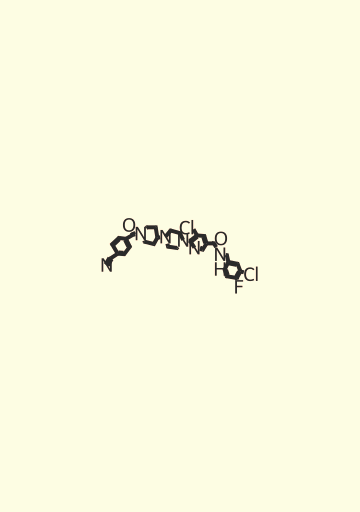 N#Cc1ccc(C(=O)N2CCC(N3CCN(c4ncc(C(=O)NCc5ccc(F)c(Cl)c5)cc4Cl)CC3)CC2)cc1